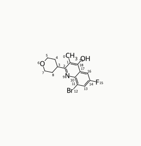 Cc1c(C2CCOCC2)nc2c(Br)cc(F)cc2c1O